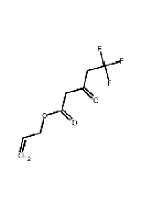 C=CCOC(=O)CC(=O)CC(F)(F)F